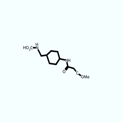 COCCC(=O)NC1CCC(CNC(=O)O)CC1